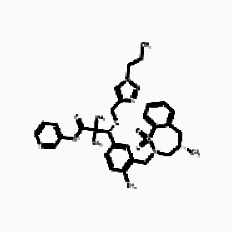 CCCn1cc(CO[C@H](c2ccc(C)c(CN3C[C@@H](C)Cc4ccccc4S3(=O)=O)c2)C(C)(C)C(=O)Nc2cccnc2)nn1